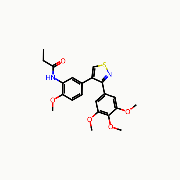 CCC(=O)Nc1cc(-c2csnc2-c2cc(OC)c(OC)c(OC)c2)ccc1OC